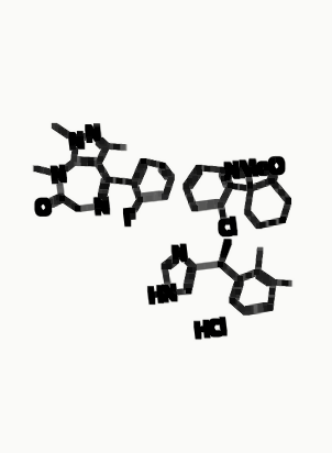 CNC1(c2ccccc2Cl)CCCCC1=O.Cc1cccc([C@H](C)c2c[nH]cn2)c1C.Cc1nn(C)c2c1C(c1ccccc1F)=NCC(=O)N2C.Cl